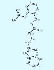 NC(=O)Cc1ccccc1OCC(=O)NCCc1nc2ccccc2[nH]1